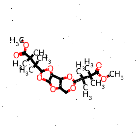 COC(=O)C(C)(C)C(C)(C)C1OCC2OC3OC(C(C)(C)C(C)(C)C(=O)OC)OC3C2O1